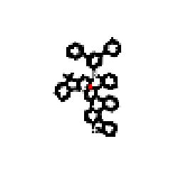 CC1(C)c2ccccc2-c2ccc(N(c3cc(-c4ccccc4)cc(-c4ccccc4)c3)c3ccccc3-c3cccc4c5ccc6oc7ccccc7c6c5c5ccccc5c34)cc21